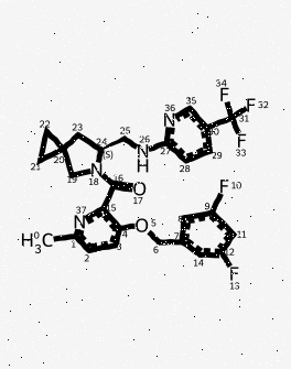 Cc1ccc(OCc2cc(F)cc(F)c2)c(C(=O)N2CC3(CC3)C[C@H]2CNc2ccc(C(F)(F)F)cn2)n1